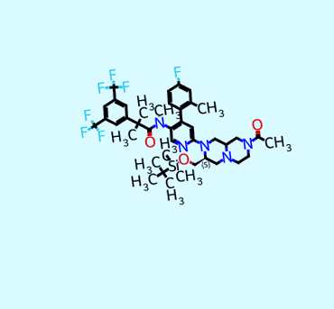 CC(=O)N1CCN2C[C@@H](CO[Si](C)(C)C(C)(C)C)N(c3cc(-c4ccc(F)cc4C)c(N(C)C(=O)C(C)(C)c4cc(C(F)(F)F)cc(C(F)(F)F)c4)cn3)CC2C1